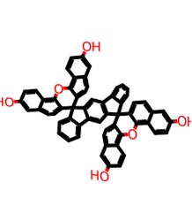 Oc1ccc2c3c(ccc2c1)C1(c2ccccc2-c2cc4c(cc21)-c1ccccc1C41c2ccc4cc(O)ccc4c2Oc2c1ccc1cc(O)ccc21)c1ccc2cc(O)ccc2c1O3